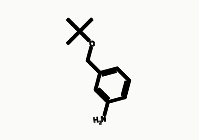 CC(C)(C)OCc1cccc(N)c1